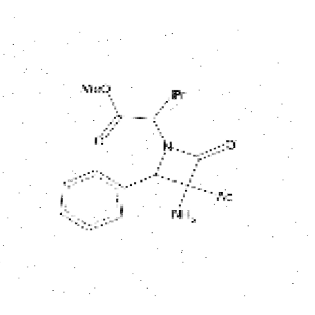 COC(=O)C(C(C)C)N1C(=O)C(N)(C(C)=O)C1c1ccccc1